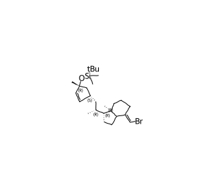 C[C@H](C[C@@H]1C=C[C@](C)(O[Si](C)(C)C(C)(C)C)C1)[C@H]1CCC2C(=CBr)CCC[C@@]21C